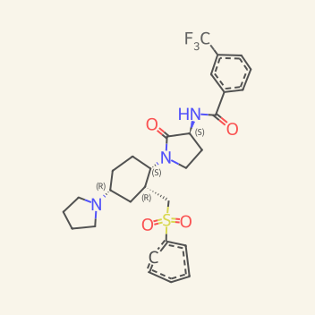 O=C(N[C@H]1CCN([C@H]2CC[C@@H](N3CCCC3)C[C@H]2CS(=O)(=O)c2ccccc2)C1=O)c1cccc(C(F)(F)F)c1